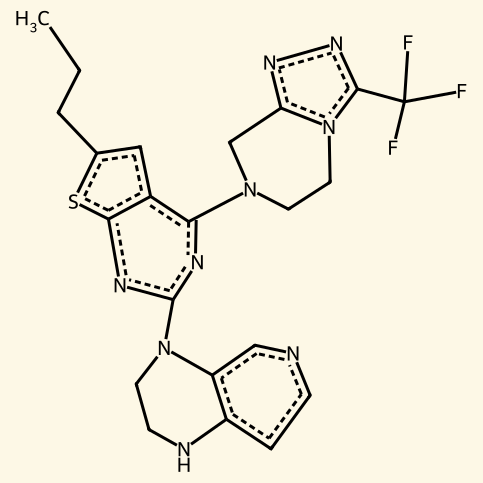 CCCc1cc2c(N3CCn4c(nnc4C(F)(F)F)C3)nc(N3CCNc4ccncc43)nc2s1